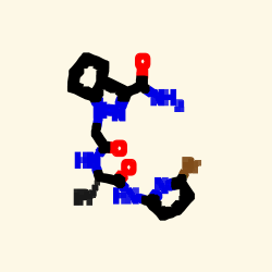 CC(C)[C@H](NC(=O)Cn1nc(C(N)=O)c2ccccc21)C(=O)Nc1cccc(Br)n1